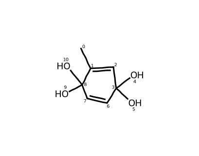 CC1=CC(O)(O)C=CC1(O)O